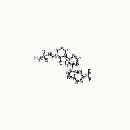 C[C@H]1[C@@H](CNS(C)(=O)=O)CCCN1c1cc(-c2cnc3ccc(C(F)F)nn23)ncn1